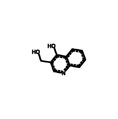 OCc1cnc2ccccc2c1O